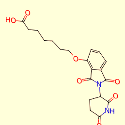 O=C(O)CCCCCCOc1cccc2c1C(=O)N(C1CCC(=O)NC1=O)C2=O